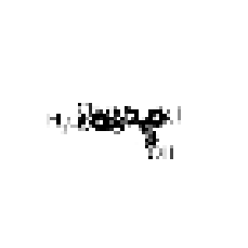 CC(C)Oc1ccc(S(=O)(=O)N2CC[C@@H](c3cn(CC(=O)O)c4cc(Cl)ccc34)C2)cc1